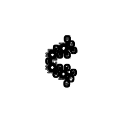 O=c1oc(=O)c2c(=O)c(=O)c(Oc3ccc(Oc4ccc(Oc5cc6c(=O)oc(=O)c=6c(=O)c5=O)cc4)cc3)cc1=2